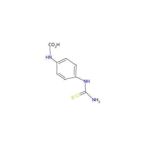 NC(=S)Nc1ccc(NC(=O)O)cc1